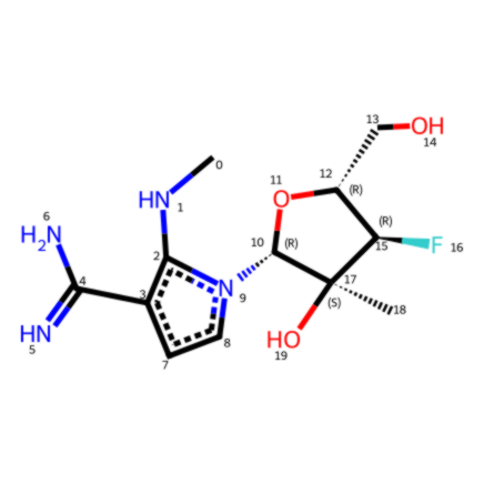 CNc1c(C(=N)N)ccn1[C@@H]1O[C@H](CO)[C@@H](F)[C@@]1(C)O